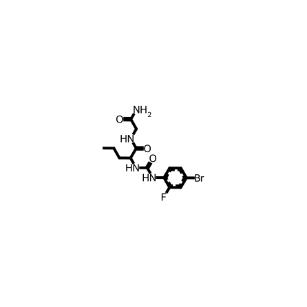 CCCC(NC(=O)Nc1ccc(Br)cc1F)C(=O)NCC(N)=O